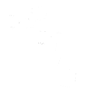 CNC(C)(CCCCC1CCCCCC1)CCC(C[Si](C)(C)C)c1ccccc1